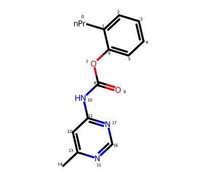 CCCc1ccccc1OC(=O)Nc1cc(C)ncn1